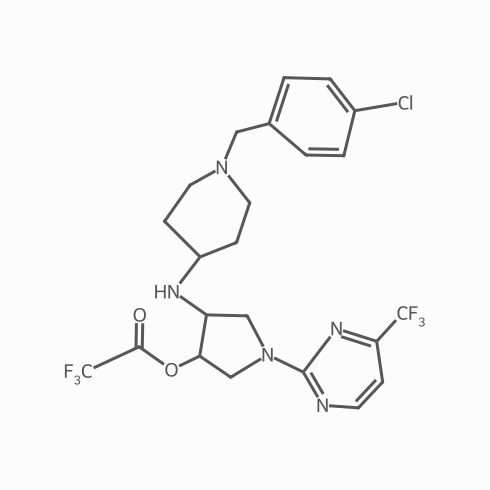 O=C(OC1CN(c2nccc(C(F)(F)F)n2)CC1NC1CCN(Cc2ccc(Cl)cc2)CC1)C(F)(F)F